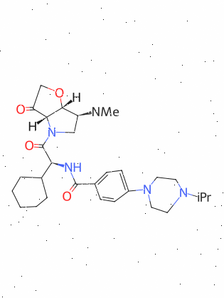 CN[C@H]1CN(C(=O)[C@@H](NC(=O)c2ccc(N3CCN(C(C)C)CC3)cc2)C2CCCCC2)[C@@H]2C(=O)CO[C@H]12